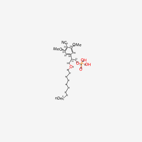 CCCCCCCCCCCCCCCCCCOCC(COP(=O)(O)O)c1cc(OC)c(C#N)c(OC)c1